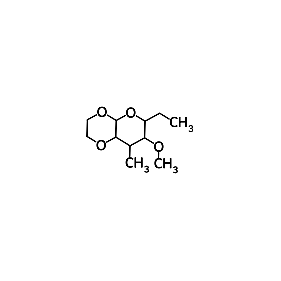 CCC1OC2OCCOC2C(C)C1OC